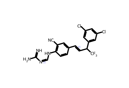 N#Cc1cc(/C=C/C(c2cc(Cl)cc(Cl)c2)C(F)(F)F)ccc1N/C=N\C(=N)N